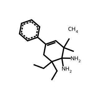 C.CCC1(CC)CC(c2ccccc2)=CC(C)(C)C1(N)N